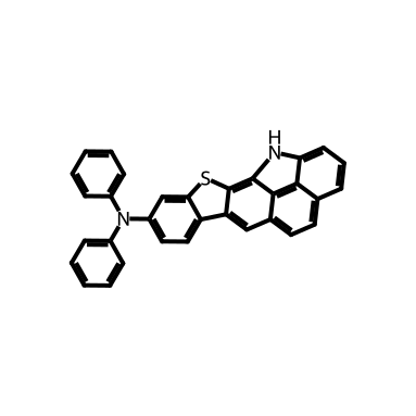 c1ccc(N(c2ccccc2)c2ccc3c(c2)sc2c3cc3ccc4cccc5[nH]c2c3c45)cc1